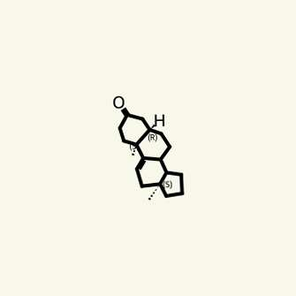 C[C@]12CC=C3C(CC[C@@H]4CC(=O)CC[C@]34C)C1CCC2